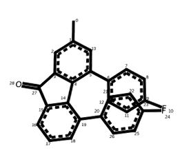 Cc1cc2c(c(-c3ccc(F)cc3)c1)-c1c(cccc1-c1ccc(F)cc1)C2=O